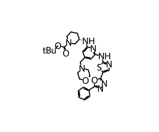 CC(C)(C)OC(=O)N1CCC[C@H](Nc2cc(CN3CCOCC3)cc(Nc3ncc(-c4nnc(-c5ccccc5)o4)s3)n2)C1